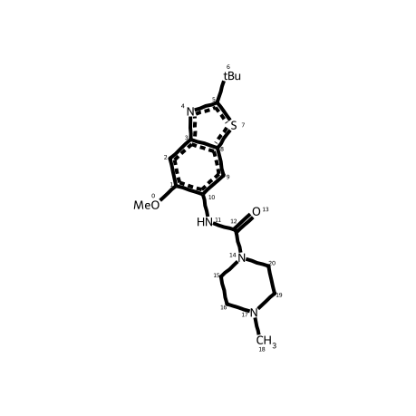 COc1cc2nc(C(C)(C)C)sc2cc1NC(=O)N1CCN(C)CC1